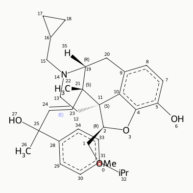 COC[C@@H]1Oc2c(O)ccc3c2[C@@]12CCN(CC1CC1)[C@H](C3)[C@@]2(C)/C=C/C(C)(O)c1ccc(C(C)C)cc1